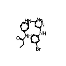 CCC(=O)Nc1cccc(Nc2cc(Nc3cccc(Br)c3)ncn2)c1